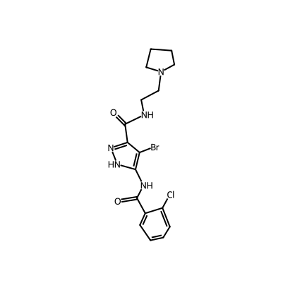 O=C(Nc1[nH]nc(C(=O)NCCN2CCCC2)c1Br)c1ccccc1Cl